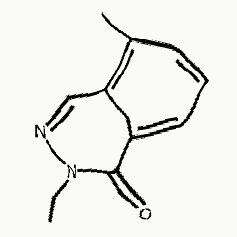 Cc1cccc2c(=O)n(C)ncc12